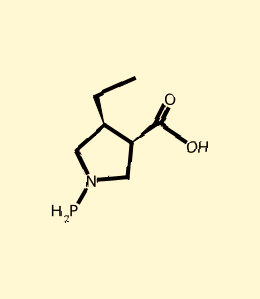 CC[C@@H]1CN(P)C[C@@H]1C(=O)O